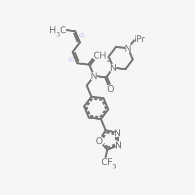 C=C(/C=C\C=C/C)N(Cc1ccc(-c2nnc(C(F)(F)F)o2)cc1)C(=O)N1CCN(C(C)C)CC1